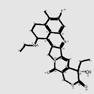 CCNC1CCc2c(C)c(F)cc3nc4c(c1c23)Cn1c-4cc2c(c1=O)COC(=O)[C@]2(O)CC